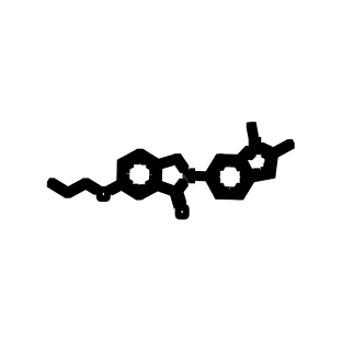 CCCOc1ccc2c(c1)C(=O)N(c1ccc3cc(C)n(C)c3c1)C2